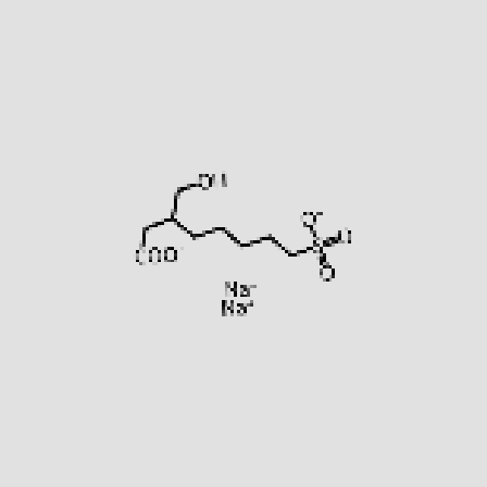 O=C([O-])CC(CO)CCCCCS(=O)(=O)[O-].[Na+].[Na+]